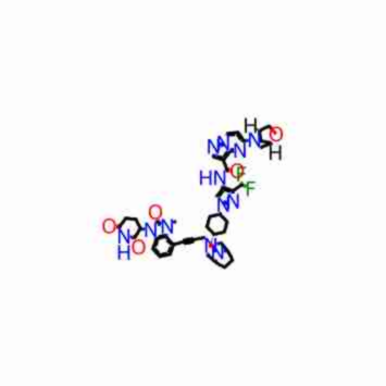 Cn1c(=O)n(C2CCC(=O)NC2=O)c2cccc(C#CCN3CC4CCC(C3)N4C[C@H]3CC[C@H](n4cc(NC(=O)c5cnn6ccc(N7C[C@H]8C[C@@H]7CO8)nc56)c(C(F)F)n4)CC3)c21